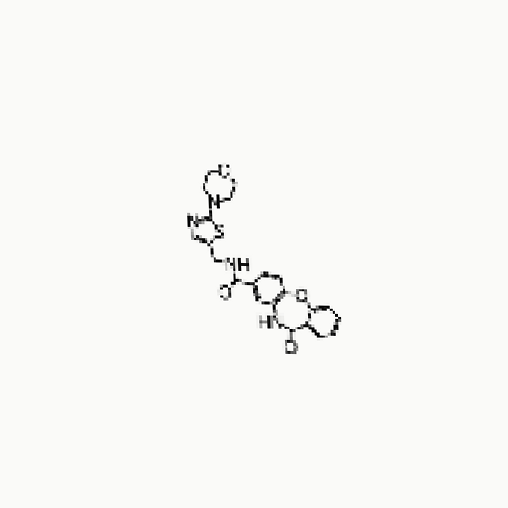 O=C(NCc1cnc(N2CCOCC2)s1)c1ccc2c(c1)NC(=O)c1ccccc1O2